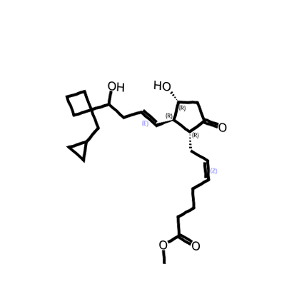 COC(=O)CCC/C=C\C[C@H]1C(=O)C[C@@H](O)[C@@H]1/C=C/CC(O)C1(CC2CC2)CCC1